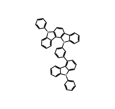 c1ccc(-n2c3ccccc3c3c(-c4cccc(-n5c6ccccc6c6ccc7c(c8ccccc8n7-c7ccccc7)c65)c4)cccc32)cc1